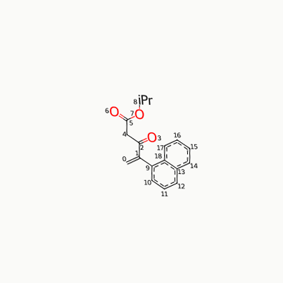 C=C(C(=O)CC(=O)OC(C)C)c1cccc2ccccc12